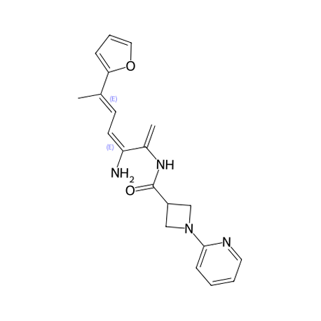 C=C(NC(=O)C1CN(c2ccccn2)C1)/C(N)=C\C=C(/C)c1ccco1